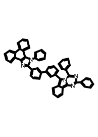 c1ccc(-c2nc(-c3ccccc3)n3c(-c4cccc(-c5cccc(-c6nc7c8ccccc8c8ccccc8c7n6-c6ccccc6)c5)c4)c4ccccc4c3n2)cc1